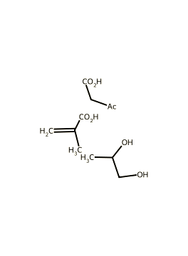 C=C(C)C(=O)O.CC(=O)CC(=O)O.CC(O)CO